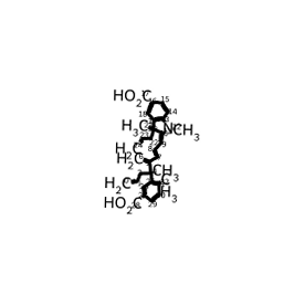 C=CCC(C)(C(=C)/C=C/C=C1/N(C)c2ccc(C(=O)O)cc2C1(C)CC=C)c1cc(C(=O)O)ccc1C